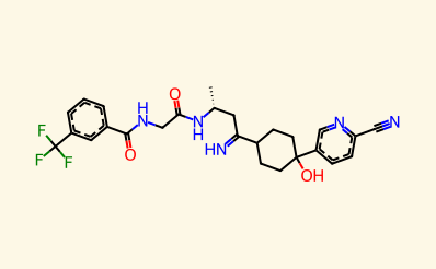 C[C@H](CC(=N)C1CCC(O)(c2ccc(C#N)nc2)CC1)NC(=O)CNC(=O)c1cccc(C(F)(F)F)c1